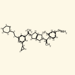 C=C(c1cc(CCC2CCCCC2)nc(C2CC2)c1)N1CC2=C(C1)CN(C(=C)c1ccc(SN)cc1F)C2